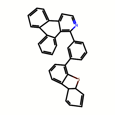 C1=CC2Sc3c(-c4cccc(-c5nccc6c7ccccc7c7ccccc7c56)c4)cccc3C2C=C1